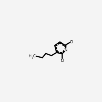 CCCCc1ccc(Cl)nc1Cl